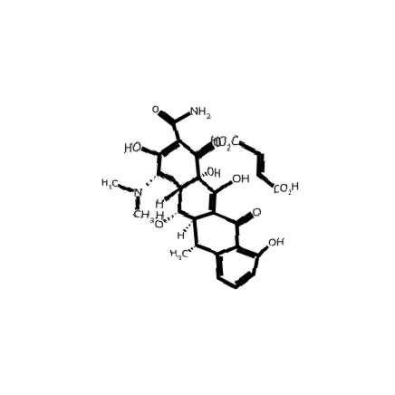 C[C@H]1c2cccc(O)c2C(=O)C2=C(O)[C@]3(O)C(=O)C(C(N)=O)=C(O)[C@@H](N(C)C)[C@H]3[C@@H](O)[C@@H]21.O=C(O)C=CC(=O)O